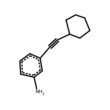 Nc1cccc(C#CC2CCCCC2)c1